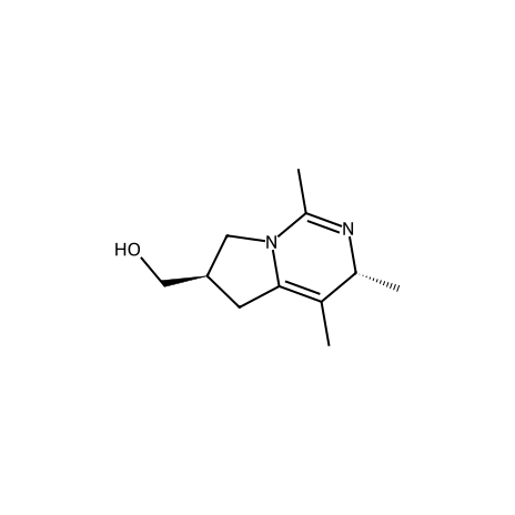 CC1=N[C@H](C)C(C)=C2C[C@@H](CO)CN12